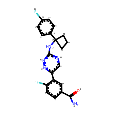 NC(=O)c1ccc(F)c(-c2cnc(NC3(c4ccc(F)cc4)CCC3)nn2)c1